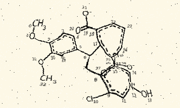 COc1ccc([C@H](Cc2c(Cl)c[n+](O)cc2Cl)c2c(C(=O)[O-])cccc2[N+](=O)[O-])cc1OC